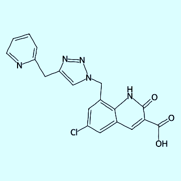 O=C(O)c1cc2cc(Cl)cc(Cn3cc(Cc4ccccn4)nn3)c2[nH]c1=O